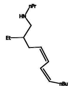 CCCC/C=C\C=C/CC(CC)CNCCC